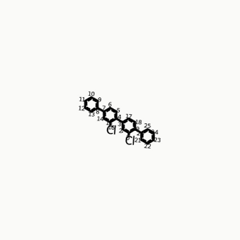 Clc1[c]c(-c2ccc(-c3ccccc3)cc2Cl)ccc1-c1ccccc1